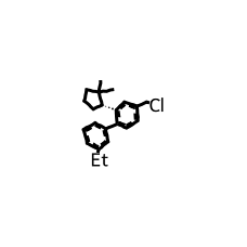 CCc1cccc(-c2ccc(CCl)cc2[C@@H]2CCCC2(C)C)c1